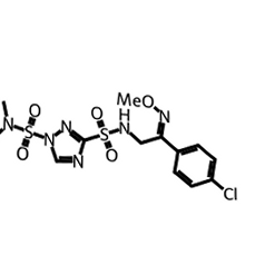 CO/N=C(\CNS(=O)(=O)c1ncn(S(=O)(=O)N(C)C)n1)c1ccc(Cl)cc1